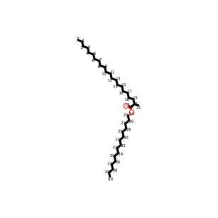 CCCCCCCCCCCCCCCCCCCCC(C)C(=O)OCCCCCCCCCCCCCCCC